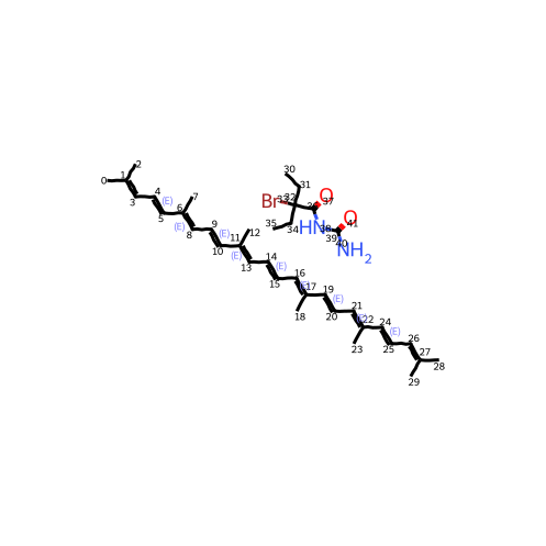 CC(C)=C/C=C/C(C)=C/C=C/C(C)=C/C=C/C=C(C)/C=C/C=C(C)/C=C/C=C(C)C.CCC(Br)(CC)C(=O)NC(N)=O